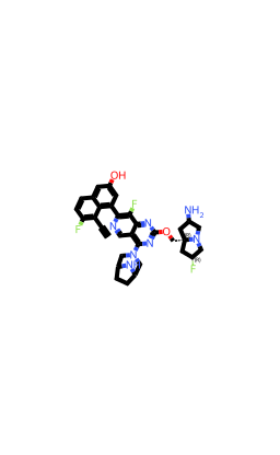 C#Cc1c(F)ccc2cc(O)cc(-c3ncc4c(N5CC6CCC(C5)N6)nc(OC[C@]56CC(N)CN5C[C@H](F)C6)nc4c3F)c12